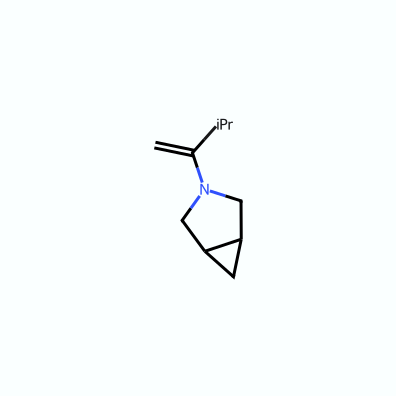 C=C(C(C)C)N1CC2CC2C1